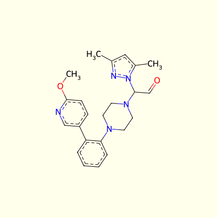 COc1ccc(-c2ccccc2N2CCN(C(C=O)n3nc(C)cc3C)CC2)cn1